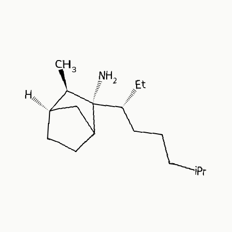 CC[C@H](CCCC(C)C)[C@@]1(N)C2CC[C@H](C2)[C@H]1C